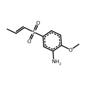 C/C=C/S(=O)(=O)c1ccc(OC)c(N)c1